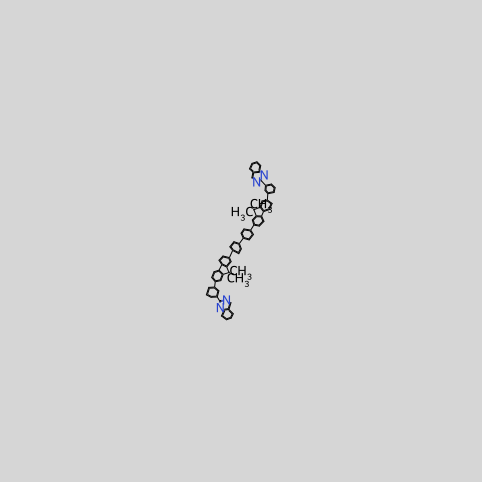 CC1(C)c2cc(-c3ccc(-c4ccc(-c5ccc6c(c5)C(C)(C)c5cc(-c7cccc(-c8ncc9ccccc9n8)c7)ccc5-6)cc4)cc3)ccc2-c2ccc(-c3cccc(-c4ncc5ccccc5n4)c3)cc21